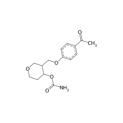 CC(=O)c1ccc(OCC2COCCC2OC(N)=O)cc1